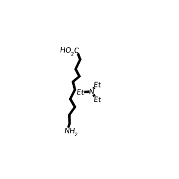 CCN(CC)CC.NCCCCCCCCCC(=O)O